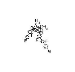 CC(C)(CC(=O)Oc1ccc(-c2ccc(F)cc2)c(F)c1)CC(C)(C)CC(=O)Oc1ccc(F)c(-c2ccc(-c3ccc(C#N)cc3)c(F)c2)c1